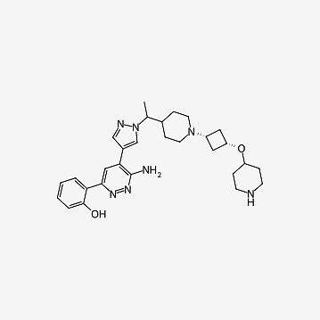 CC(C1CCN([C@H]2C[C@@H](OC3CCNCC3)C2)CC1)n1cc(-c2cc(-c3ccccc3O)nnc2N)cn1